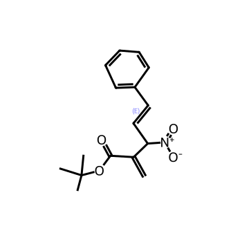 C=C(C(=O)OC(C)(C)C)C(/C=C/c1ccccc1)[N+](=O)[O-]